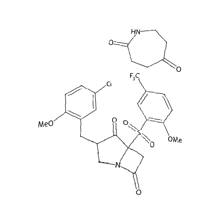 COc1ccc(Cl)cc1CC1CN2C(=O)CC2(S(=O)(=O)c2cc(C(F)(F)F)ccc2OC)C1=O.O=C1CCNC(=O)CC1